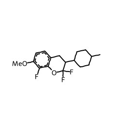 COc1ccc2c(c1F)OC(F)(F)C(C1CCC(C)CC1)C2